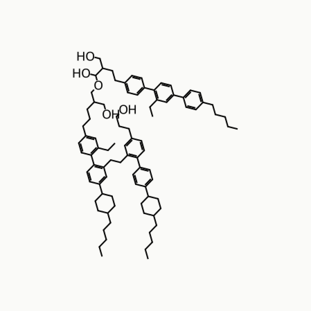 CCCCCc1ccc(-c2ccc(-c3ccc(CCC(CO)C(O)OCC(CO)CCCc4ccc(-c5ccc(C6CCC(CCCCC)CC6)cc5CCc5cc(CCCO)ccc5-c5ccc(C6CCC(CCCCC)CC6)cc5)c(CC)c4)cc3)c(CC)c2)cc1